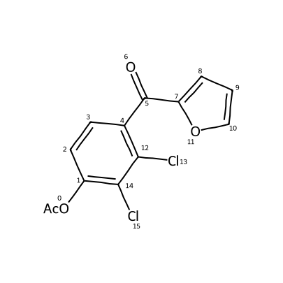 CC(=O)Oc1ccc(C(=O)c2ccco2)c(Cl)c1Cl